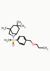 C=S(=O)(c1ccc(COCCC)cc1)N1CC2(C)CC1CC(C)(C)C2